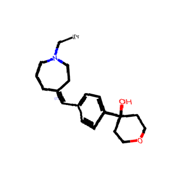 CC(C)CN1CCC/C(=C/c2ccc(C3(O)CCOCC3)cc2)CC1